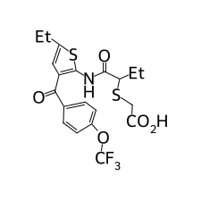 CCc1cc(C(=O)c2ccc(OC(F)(F)F)cc2)c(NC(=O)C(CC)SCC(=O)O)s1